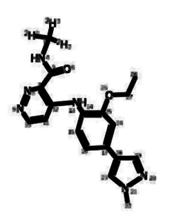 [2H]C([2H])([2H])NC(=O)c1nnccc1Nc1ccc(-c2cnn(C)c2)cc1OCC